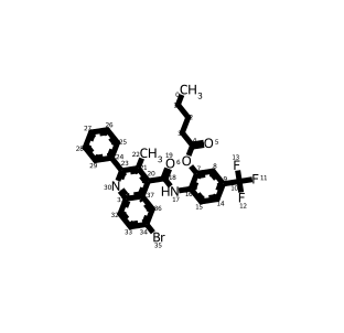 CCCCC(=O)Oc1cc(C(F)(F)F)ccc1NC(=O)c1c(C)c(-c2ccccc2)nc2ccc(Br)cc12